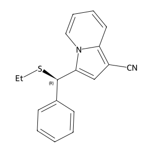 CCS[C@H](c1ccccc1)c1cc(C#N)c2ccccn12